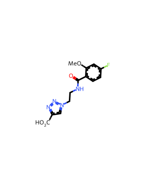 COc1cc(F)ccc1C(=O)NCCn1cc(C(=O)O)nn1